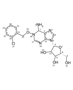 NC1c2ncn([C@@H]3O[C@H](CO)C(O)C3O)c2N=CN1OCc1ccccc1Cl